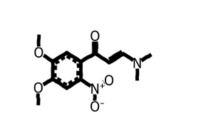 COc1cc(C(=O)C=CN(C)C)c([N+](=O)[O-])cc1OC